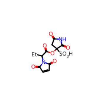 CCC(C(=O)OC1(S(=O)(=O)O)CC(=O)NC1=O)N1C(=O)C=CC1=O